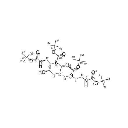 CC(C)(C)OC(=O)NCCN(CC(CCO)CN(CCNC(=O)OC(C)(C)C)C(=O)OC(C)(C)C)C(=O)OC(C)(C)C